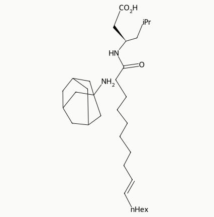 CCCCCCC=CCCCCCCCC(=O)N[C@@H](CC(=O)O)CC(C)C.NC12CC3CC(CC(C3)C1)C2